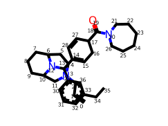 C=CCN1CCC2CCCC(C1)N2C(C1=CCC(C(=O)N2CCCCCC2)C=C1)c1cccc(CC)c1